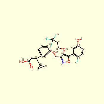 COc1ccc(F)c(-c2onc(COc3cccc(C(CC(=O)O)C4CC4)c3)c2OCCC(F)(F)F)c1